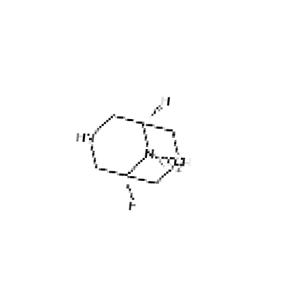 O=C(O)N1[C@@H]2CNC[C@H]1COC2